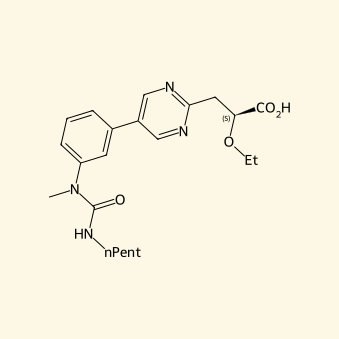 CCCCCNC(=O)N(C)c1cccc(-c2cnc(C[C@H](OCC)C(=O)O)nc2)c1